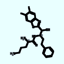 Cc1cc2nc(C(O)[C@@H](CCc3ccccc3)NC(=O)[C@H](N)CCCN)oc2cc1C